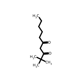 CCCCCC(=O)CC(=O)C(C)(C)C